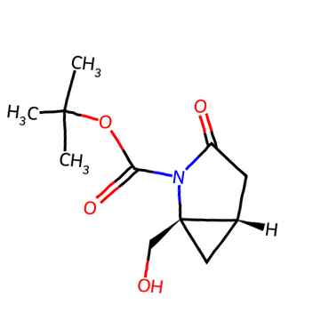 CC(C)(C)OC(=O)N1C(=O)C[C@@H]2C[C@@]21CO